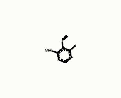 C=Nc1c(I)ccnc1NC